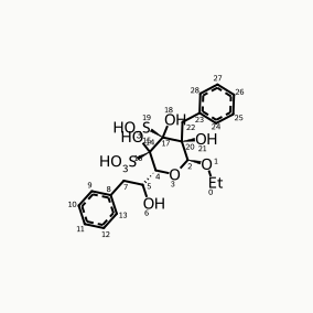 CCO[C@H]1O[C@H](C(O)Cc2ccccc2)[C@@](O)(S(=O)(=O)O)[C@@](O)(S(=O)(=O)O)[C@]1(O)Cc1ccccc1